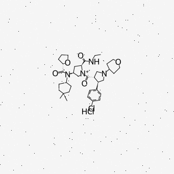 CCNC(=O)[C@@H]1C[C@H](N(C(=O)[C@@H]2CCCO2)C2CCC(C)(C)CC2)C[N+]1(C)C(=O)[C@@H]1CN(C2CCOCC2)C[C@H]1c1ccc(Cl)cc1.Cl